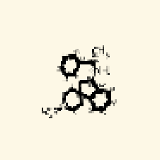 BN1CCC2(CC1)C[C@H](N[C@@H](C)c1ccccc1)c1ccccc12